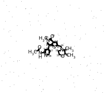 CC(=O)Nc1cc(-c2cn(C)c(=O)c3cc(CN4CCO[C@H](C)[C@H]4C)sc23)ccn1